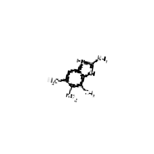 Cc1cc2[nH]c(N)nc2c(C)c1[N+](=O)[O-]